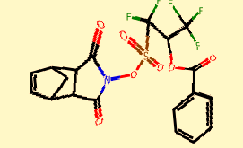 O=C(OC(C(F)(F)F)C(F)(F)S(=O)(=O)ON1C(=O)C2C3C=CC(C3)C2C1=O)c1ccccc1